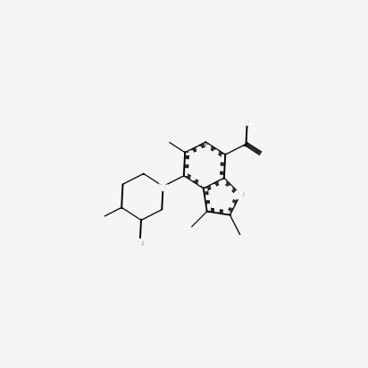 Cc1[nH]c2c(C(N)=O)cc(F)c(N3CCC(F)C(N)C3)c2c1C.Cl